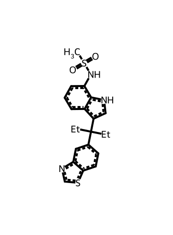 CCC(CC)(c1ccc2scnc2c1)c1c[nH]c2c(NS(C)(=O)=O)cccc12